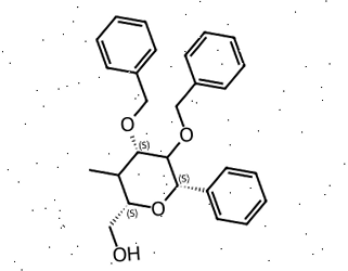 CC1[C@H](OCc2ccccc2)C(OCc2ccccc2)[C@H](c2ccccc2)O[C@@H]1CO